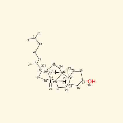 CC(C)CCC[C@@H](C)C1CC[C@H]2[C@@H]3CC=C4C[C@@H](O)CC[C@]4(C)[C@H]3CC[C@]12C